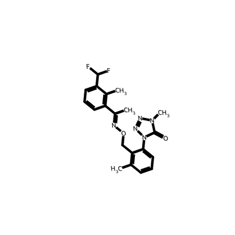 CC(=NOCc1c(C)cccc1-n1nnn(C)c1=O)c1cccc(C(F)F)c1C